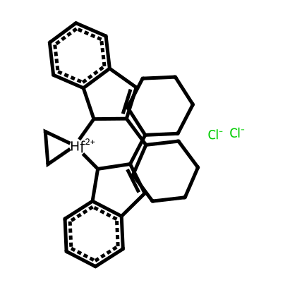 C1=C(C2CCCCC2)[CH]([Hf+2]2([CH]3C(C4CCCCC4)=Cc4ccccc43)[CH2][CH2]2)c2ccccc21.[Cl-].[Cl-]